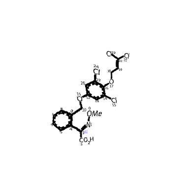 CO/N=C(/C(=O)O)c1ccccc1COc1cc(Cl)c(OCC=C(Cl)Cl)c(Cl)c1